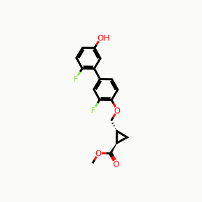 COC(=O)[C@@H]1C[C@H]1COc1ccc(-c2cc(O)ccc2F)cc1F